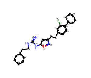 N=C(NCCc1ccccc1)Nc1cc(CCc2ccc(-c3ccccc3)c(F)c2)no1